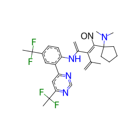 C=C(C)/C(C(=C)Nc1ccc(C(C)(F)F)cc1-c1cc(C(C)(F)F)ncn1)=C(/N=O)C1(N(C)C)CCCC1